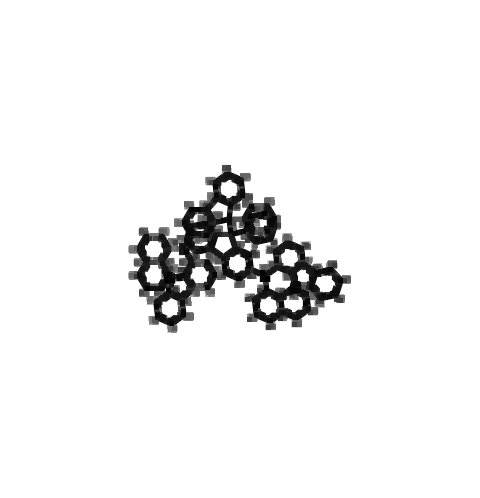 c1ccc(C2(C3(c4ccccc4)c4ccccc4-c4ccc(N(c5cccc6ccccc56)c5cccc6c5oc5ccccc56)cc43)c3ccccc3-c3ccc(N(c4cccc5ccccc45)c4cccc5c4oc4ccccc45)cc32)cc1